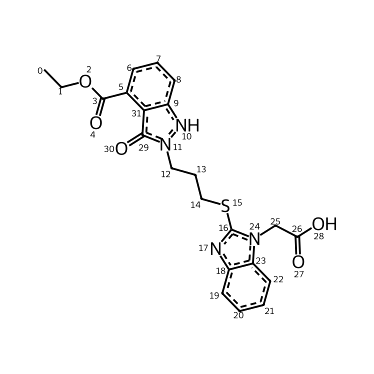 CCOC(=O)c1cccc2[nH]n(CCCSc3nc4ccccc4n3CC(=O)O)c(=O)c12